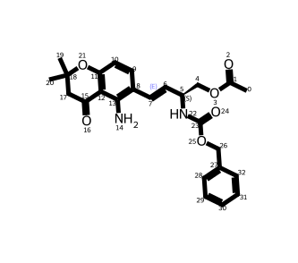 CC(=O)OC[C@H](/C=C/c1ccc2c(c1N)C(=O)CC(C)(C)O2)NC(=O)OCc1ccccc1